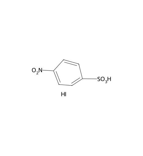 I.O=[N+]([O-])c1ccc(S(=O)(=O)O)cc1